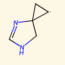 [CH]1CC12CNC=N2